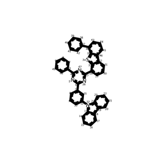 c1ccc(-c2nc(-c3cccc(-n4c5ccccc5c5ccccc54)c3)nc(-c3cccc4c3sc3c(-c5ccccc5)cccc34)n2)cc1